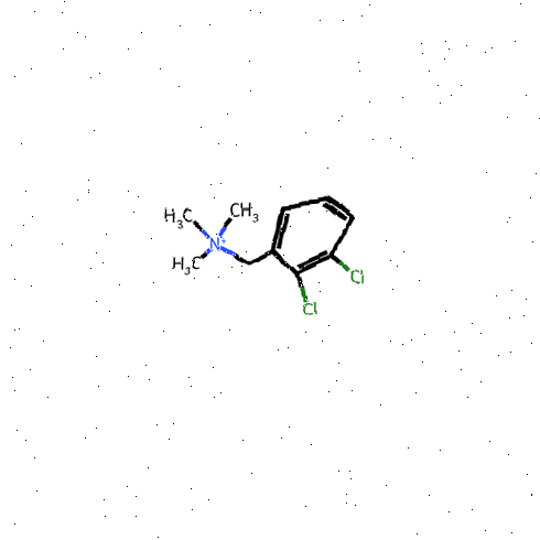 C[N+](C)(C)Cc1cccc(Cl)c1Cl